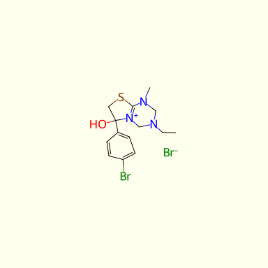 CCN1CN(C)C2=[N+](C1)C(O)(c1ccc(Br)cc1)CS2.[Br-]